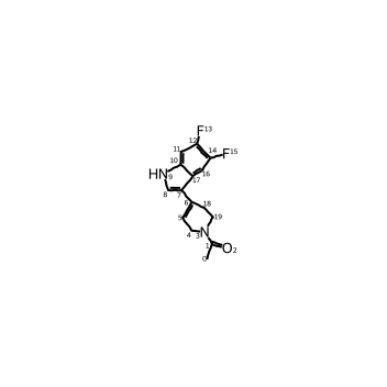 CC(=O)N1CC=C(c2c[nH]c3cc(F)c(F)cc23)CC1